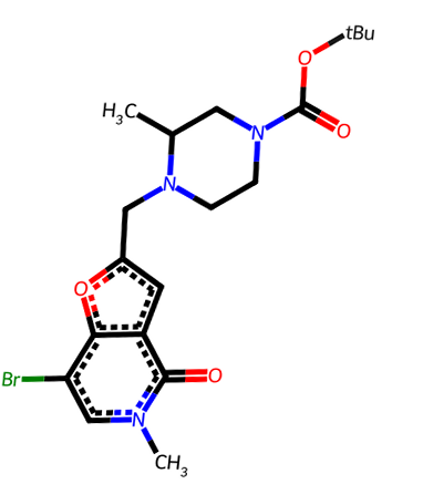 CC1CN(C(=O)OC(C)(C)C)CCN1Cc1cc2c(=O)n(C)cc(Br)c2o1